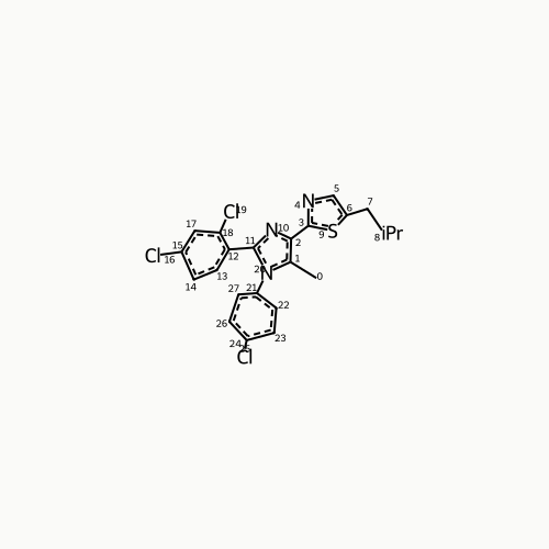 Cc1c(-c2ncc(CC(C)C)s2)nc(-c2ccc(Cl)cc2Cl)n1-c1ccc(Cl)cc1